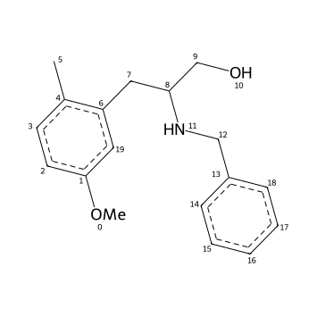 COc1ccc(C)c(CC(CO)NCc2ccccc2)c1